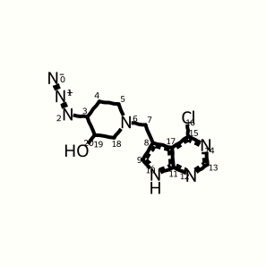 [N-]=[N+]=NC1CCN(Cc2c[nH]c3ncnc(Cl)c23)CC1O